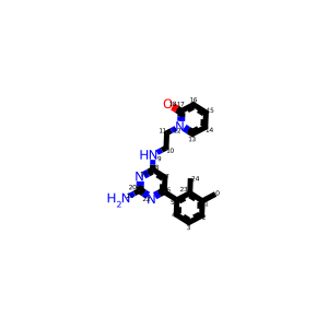 Cc1cccc(-c2cc(NCCn3ccccc3=O)nc(N)n2)c1C